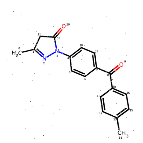 CC1=NN(c2ccc(C(=O)c3ccc(C)cc3)cc2)C(=O)C1